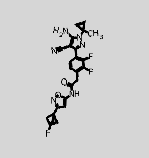 CC1(n2nc(-c3ccc(CC(=O)Nc4cc(C56CC(F)(C5)C6)no4)c(F)c3F)c(C#N)c2N)CC1